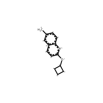 Cc1ccc2nc(OC3CCC3)ccc2c1